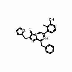 Cc1c(O)cccc1-c1cn2c(=O)c(Cc3ccco3)nc-2c(Cc2ccccc2)[nH]1